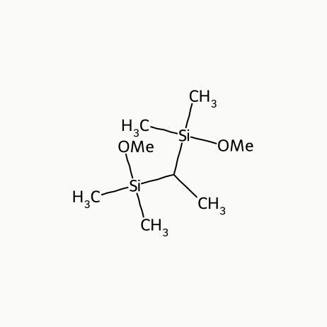 CO[Si](C)(C)C(C)[Si](C)(C)OC